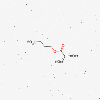 CCCCCCCCC(CCCCCCCC)C(=O)OCCCC(=O)O